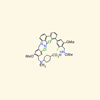 CONCc1c(F)cc(-c2cccc(-c3cccc4c3cnn4Cc3cc(OC)c(CN(C)C4CCC(C(=O)O)CC4)cc3Cl)c2Cl)cc1OC